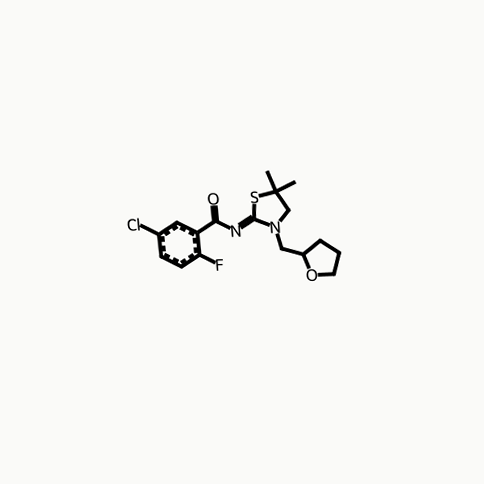 CC1(C)CN(CC2CCCO2)/C(=N/C(=O)c2cc(Cl)ccc2F)S1